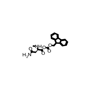 CN[C@H](CC(N)=O)C(=O)OC(=O)OCC1c2ccccc2-c2ccccc21